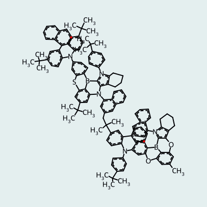 Cc1cc2c3c(c1)Oc1c4c(n(-c5cccc6ccccc56)c1B3c1ccc(N(c3ccc(C(C)(C)C)cc3)c3ccc(C(C)(C)Cc5cc(N6c7cc(C(C)(C)C)cc8c7B(c7ccc(N(c9ccc(C(C)(C)C)cc9)c9ccc(C(C)(C)C)cc9-c9cccc%10ccccc9%10)cc7S8)c7c6c6c(n7-c7ccc(C(C)(C)C)cc7)CCCC6)c6ccccc6c5)cc3-c3ccccc3)cc1O2)CCCC4